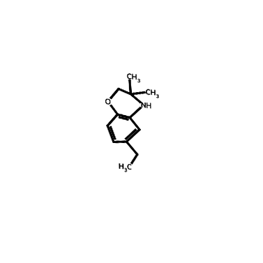 CCc1ccc2c(c1)NC(C)(C)CO2